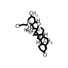 C[C@H]1C[C@H]2O[C@]3(CC[C@H]4[C@@H]5CCC6=CC(=O)CC[C@]6(C)[C@H]5CC45CC53C)[C@H](C)[C@@H]2N(CCCl)C1